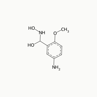 COc1ccc(N)cc1C(O)NO